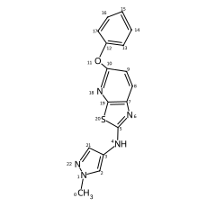 Cn1cc(Nc2nc3ccc(Oc4ccccc4)nc3s2)cn1